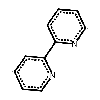 [c]1[c]nc(-c2c[c][c]cn2)cc1